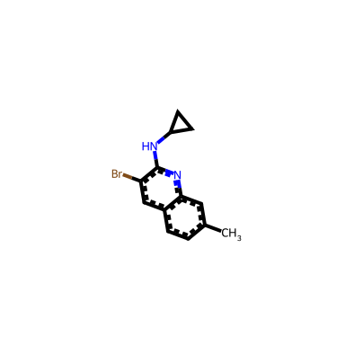 Cc1ccc2cc(Br)c(NC3CC3)nc2c1